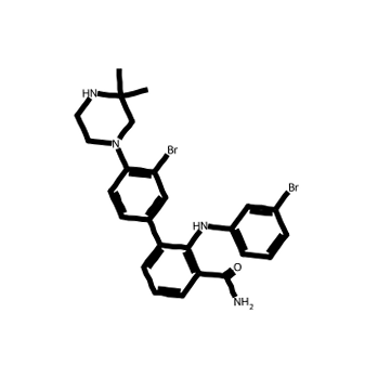 CC1(C)CN(c2ccc(-c3cccc(C(N)=O)c3Nc3cccc(Br)c3)cc2Br)CCN1